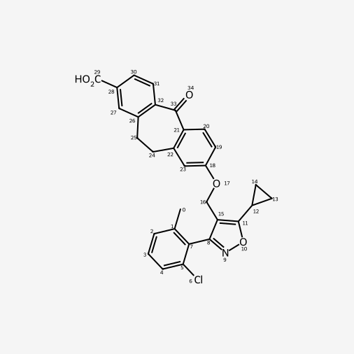 Cc1cccc(Cl)c1-c1noc(C2CC2)c1COc1ccc2c(c1)CCc1cc(C(=O)O)ccc1C2=O